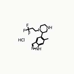 Cc1cc2[nH]ncc2cc1C1CNCCN1CCC(F)(F)F.Cl